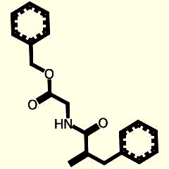 C=C(Cc1ccccc1)C(=O)NCC(=O)OCc1ccccc1